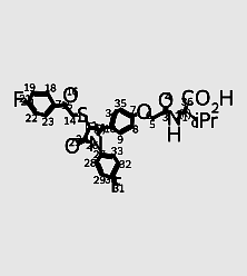 CC(C)[C@@H](NC(=O)COc1ccc([C@@H]2[C@H](SCC(=O)c3ccc(F)cc3)C(=O)N2c2ccc(F)cc2)cc1)C(=O)O